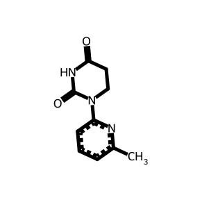 Cc1cccc(N2CCC(=O)NC2=O)n1